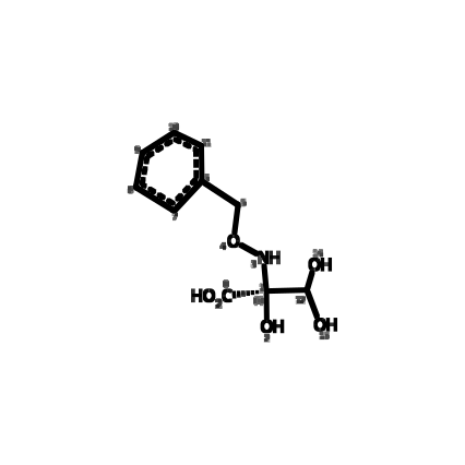 O=C(O)[C@](O)(NOCc1ccccc1)C(O)O